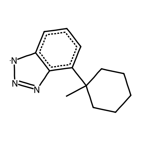 CC1(c2cccc3c2N=N[N]3)CCCCC1